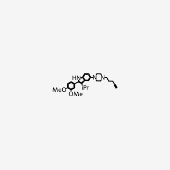 C#CCCCN1CCN(c2ccc3[nH]c(-c4ccc(OC)c(OC)c4)c(C(C)C)c3c2)CC1